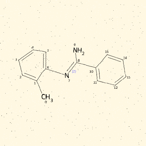 Cc1ccccc1/N=C(\N)c1ccccc1